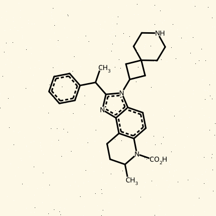 CC(c1ccccc1)c1nc2c3c(ccc2n1C1CC2(CCNCC2)C1)N(C(=O)O)C(C)CC3